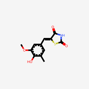 COc1cc(/C=C2\SC(=O)NC2=O)cc(C)c1O